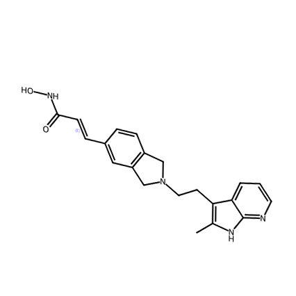 Cc1[nH]c2ncccc2c1CCN1Cc2ccc(/C=C/C(=O)NO)cc2C1